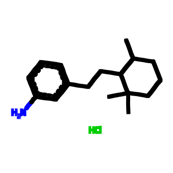 CC1CCCC(C)(C)C1CCc1cccc(N)c1.Cl